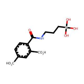 O=C(O)c1ccc(C(=O)NCCC[Si](O)(O)O)c(C(=O)O)c1